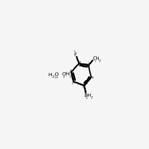 Bc1ccc(F)c(C)c1.O.O